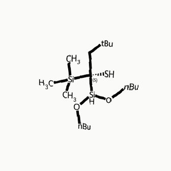 CCCCO[SiH](OCCCC)[C@](S)(CC(C)(C)C)[Si](C)(C)C